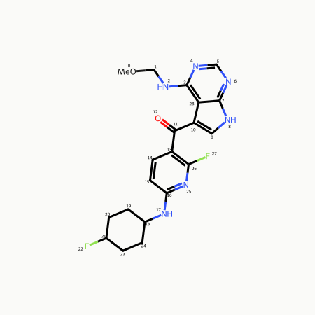 COCNc1ncnc2[nH]cc(C(=O)c3ccc(NC4CCC(F)CC4)nc3F)c12